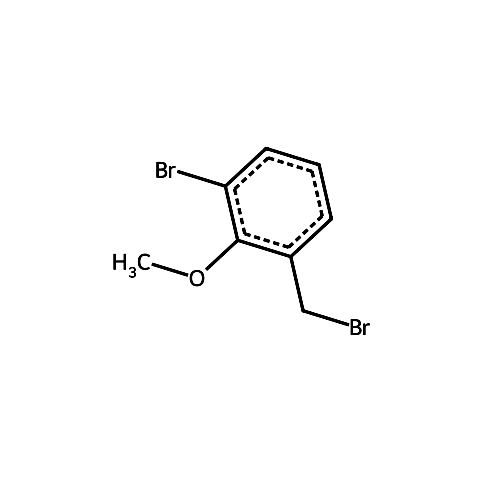 COc1c(Br)cccc1CBr